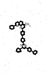 Cc1cc(-c2ccc(-c3ccc(-c4nc(-c5ccccc5)cc(-c5ccc(-c6ccccc6)cc5)n4)cc3)cc2)nc2c1ccc1ccc(-c3ccccc3)nc12